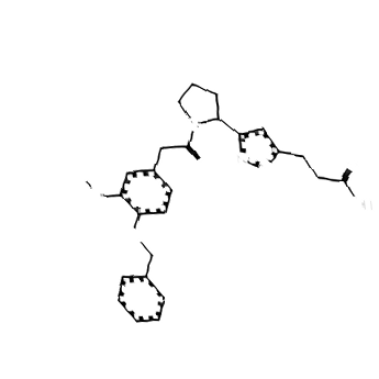 COc1cc(CC(=O)N2CCCC2c2cc(CCC(=O)O)on2)ccc1OCc1ccccc1